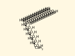 O=C(O)O.O=C(O)O.O=C(O)O.O=C(O)O.O=C(O)O.O=C(O)O.O=C(O)O.O=C(O)O.O=C(O)O.O=C(O)O.O=C(O)O.O=C(O)O.O=C(O)O.O=C(O)O.O=C(O)O.O=C(O)O.O=C(O)O.O=C(O)O.O=C(O)O.O=C(O)O.[CaH2]